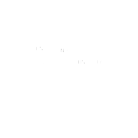 CC(C)Nc1ccccc1-c1c[nH]cn1